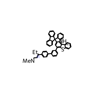 CC/C(=C\CNC)c1ccc(-c2cccc(-c3cc(C4(c5ccccc5N)c5ccccc5-c5ccccc54)cc4c3sc3ccccc34)c2)cc1